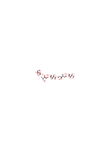 O=C(O)CC(C(=O)O[C@@H]1CO[C@H]2[C@@H]1OC[C@H]2O)/C(=C/C(=O)O[C@@H]1CO[C@H]2[C@@H]1OC[C@H]2OC(=O)CC(C(=O)O)C(CC(=O)O[C@H]1CO[C@H]2[C@@H]1OC[C@H]2O)C(=O)O)C(=O)O